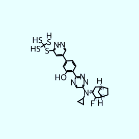 Oc1cc(-c2cnnc(SC(S)(S)S)c2)ccc1-c1ncc(N(C2CC2)[C@@H]2C[C@H]3CC[C@H](C3)[C@@H]2F)nn1